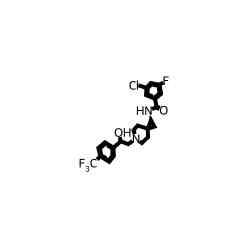 O=C(N[C@@H]1CC12CCN(CC(O)c1ccc(C(F)(F)F)cc1)CC2)c1cc(F)cc(Cl)c1